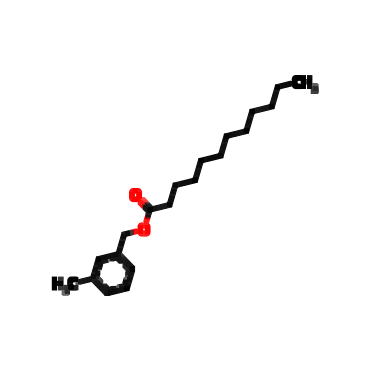 CCCCCCCCCCCC(=O)OCc1cccc(C)c1